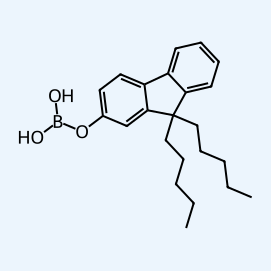 CCCCCC1(CCCCC)c2ccccc2-c2ccc(OB(O)O)cc21